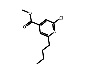 CCCCc1cc(C(=O)OC)cc(Cl)n1